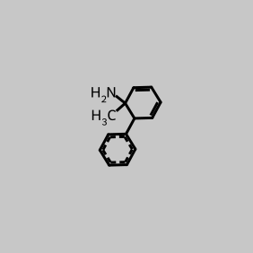 CC1(N)C=CC=CC1c1ccccc1